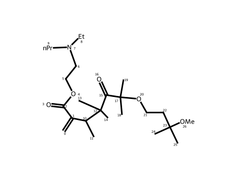 C=C(C(=O)OCCN(CC)CCC)C(C)C(C)(C)C(=O)C(C)(C)OCCC(C)(C)OC